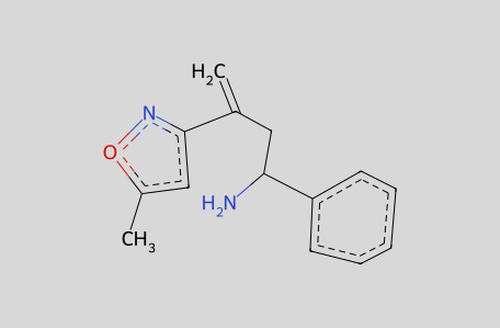 C=C(CC(N)c1ccccc1)c1cc(C)on1